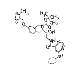 Cc1ncoc1COc1ccc2c(c1)CN(C(=O)OC(C)(C)C)[C@H]([C@H](O)CNC(=O)c1cc(NC3CCCCC3)ncn1)C2